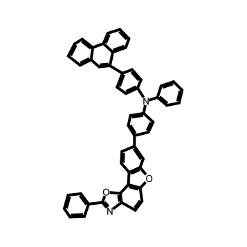 c1ccc(-c2nc3ccc4oc5cc(-c6ccc(N(c7ccccc7)c7ccc(-c8cc9ccccc9c9ccccc89)cc7)cc6)ccc5c4c3o2)cc1